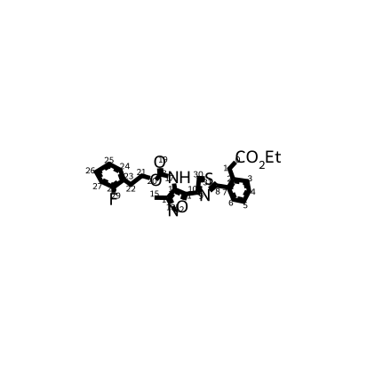 CCOC(=O)Cc1ccccc1-c1nc(-c2onc(C)c2NC(=O)OCCc2ccccc2F)cs1